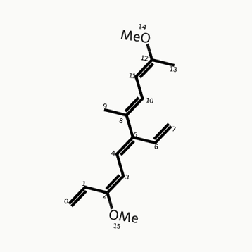 C=C\C(=C/C=C(C=C)/C(C)=C/C=C(\C)OC)OC